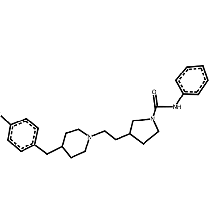 O=C(Nc1ccccc1)N1CCC(CCN2CCC(Cc3ccc(F)cc3)CC2)C1